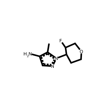 Cc1c(N)cnn1C1CCOCC1F